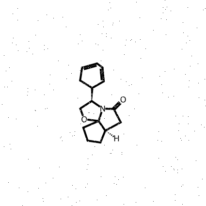 O=C1C[C@H]2CCCC23OC[C@@H](C2C=CC=CC2)N13